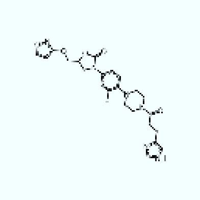 O=C(CCc1c[nH]cn1)N1CCN(c2ccc(N3CC(COc4ccon4)OC3=O)cc2F)CC1